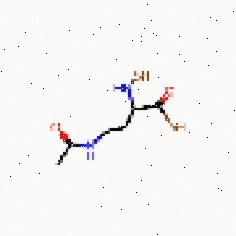 CC(=O)NCCC(NS)C(=O)S